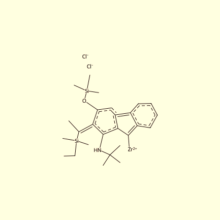 CC[Si](C)(C)C(C)=c1c(O[Si](C)(C)C)cc2c(c1NC(C)(C)C)[C]([Zr+2])=c1ccccc1=2.[Cl-].[Cl-]